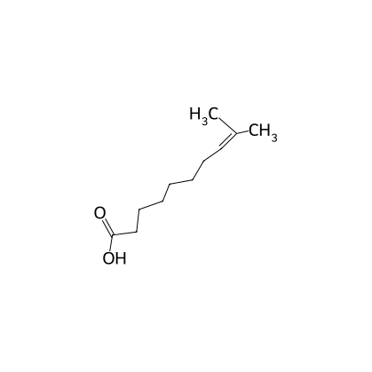 CC(C)=CCCCCCCC(=O)O